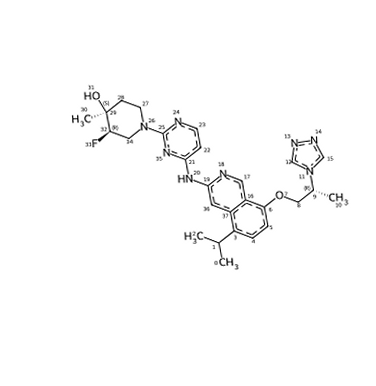 CC(C)c1ccc(OC[C@@H](C)n2cnnc2)c2cnc(Nc3ccnc(N4CC[C@](C)(O)[C@H](F)C4)n3)cc12